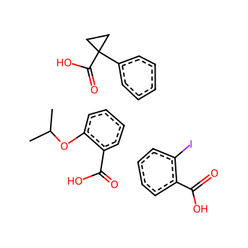 CC(C)Oc1ccccc1C(=O)O.O=C(O)C1(c2ccccc2)CC1.O=C(O)c1ccccc1I